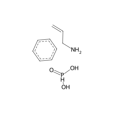 C=CCN.O=[PH](O)O.c1ccccc1